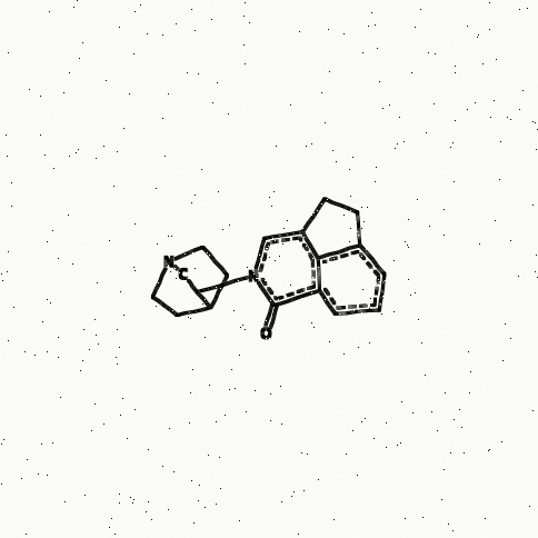 O=c1c2cccc3c2c(cn1C1CN2CCC1CC2)CC3